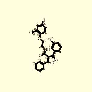 CCc1cccc(-c2noc(-c3ccccc3)c2C(=O)NCCOc2ccc(Cl)cc2Cl)c1